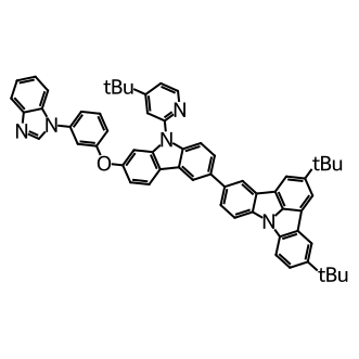 CC(C)(C)c1ccnc(-n2c3ccc(-c4ccc5c(c4)c4cc(C(C)(C)C)cc6c7cc(C(C)(C)C)ccc7n5c46)cc3c3ccc(Oc4cccc(-n5cnc6ccccc65)c4)cc32)c1